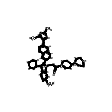 Cc1nc(C)c(-c2ccc3cc(-c4c(C5CCCCC5)c5ccc(C(=O)O)cc5n4CC(=O)N4CCC(N5CCOCC5)CC4)ccc3n2)s1